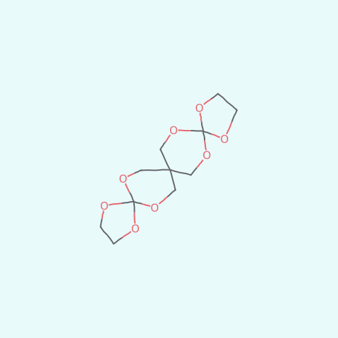 C1COC2(O1)OCC1(CO2)COC2(OCCO2)OC1